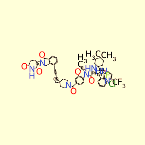 C[C@H]1CN(C(=O)[C@@H]2NC3(CCC(C)(C)CC3)[C@@]3(CNc4cc(C(F)(F)F)ncc43)[C@H]2c2cccc(Cl)c2F)c2ccc(C(=O)N3CCC4(CC3)C[C@H]4C#Cc3cccc4c3CN([C@H]3CCC(=O)NC3=O)C4=O)cc2O1